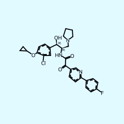 O=C(N[C@H](CN1CCCC1)[C@H](O)c1ccc(OC2CC2)c(Cl)c1)C(=O)c1ccc(-c2ccc(F)cc2)nc1